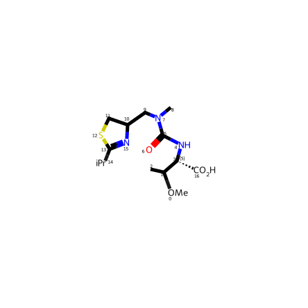 COC(C)[C@H](NC(=O)N(C)CC1CSC(C(C)C)=N1)C(=O)O